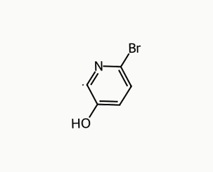 Oc1[c]nc(Br)cc1